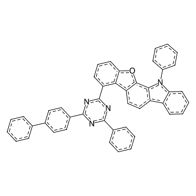 c1ccc(-c2ccc(-c3nc(-c4ccccc4)nc(-c4cccc5oc6c(ccc7c8ccccc8n(-c8ccccc8)c76)c45)n3)cc2)cc1